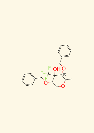 CC1OCC(OCc2ccccc2)C(O)(C(F)(F)F)[C@@H]1OCc1ccccc1